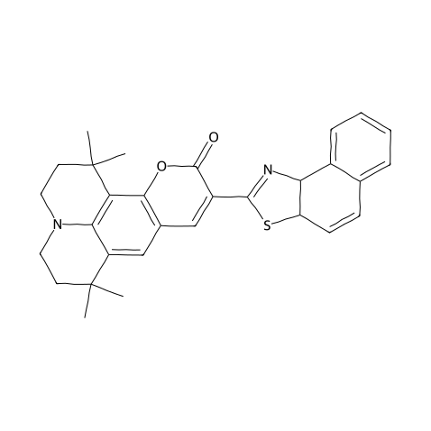 CC1(C)CCN2CCC(C)(C)c3c2c1cc1cc(C2=NC4c5ccccc5C=CC4S2)c(=O)oc31